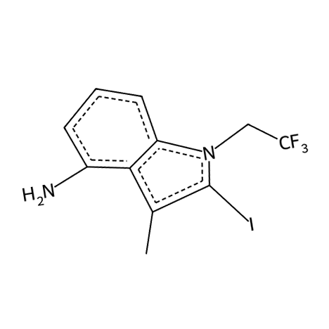 Cc1c(I)n(CC(F)(F)F)c2cccc(N)c12